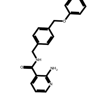 Nc1ncccc1C(=O)NCc1ccc(COc2ccccc2)cc1